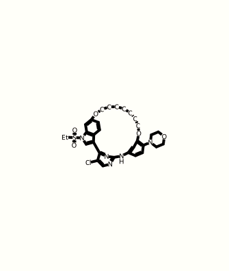 CCS(=O)(=O)n1cc2c3ccc(cc31)OCCCCCCCOc1cc(ccc1N1CCOCC1)Nc1ncc(Cl)c-2n1